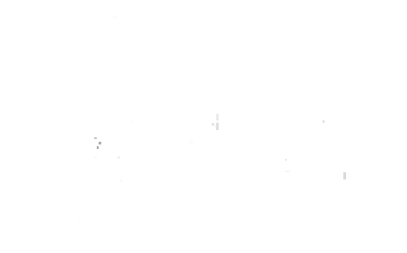 N=C(N)NCCN[C@@H]1CC[C@@]2(O)[C@H]3Cc4ccc(O)cc4C2(CCN3CC2CC2)C1